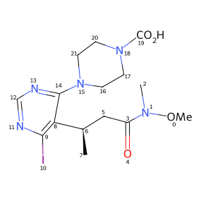 CON(C)C(=O)C[C@@H](C)c1c(I)ncnc1N1CCN(C(=O)O)CC1